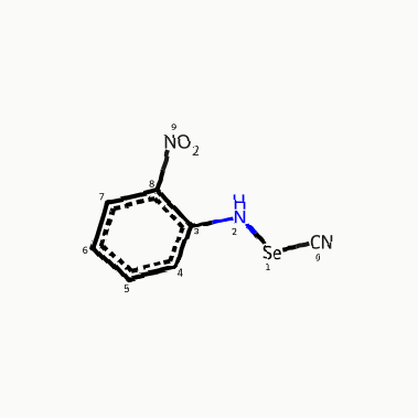 N#C[Se]Nc1ccccc1[N+](=O)[O-]